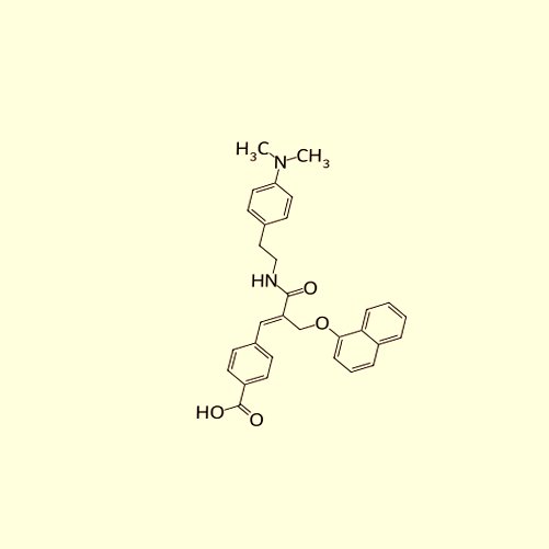 CN(C)c1ccc(CCNC(=O)/C(=C/c2ccc(C(=O)O)cc2)COc2cccc3ccccc23)cc1